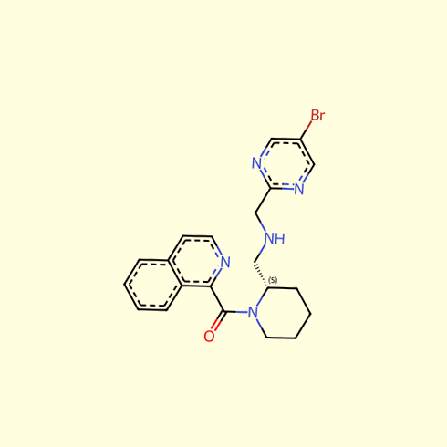 O=C(c1nccc2ccccc12)N1CCCC[C@H]1CNCc1ncc(Br)cn1